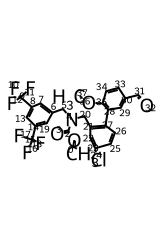 COC(=O)N(Cc1cc(C(F)(F)F)cc(C(F)(F)F)c1)Cc1cc(Cl)ccc1-c1cc(C=O)ccc1OC